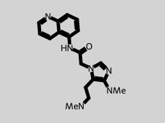 CNCCc1c(NC)ncn1CC(=O)Nc1cccc2ncccc12